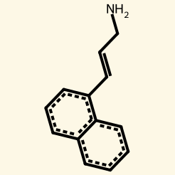 NCC=Cc1cccc2ccccc12